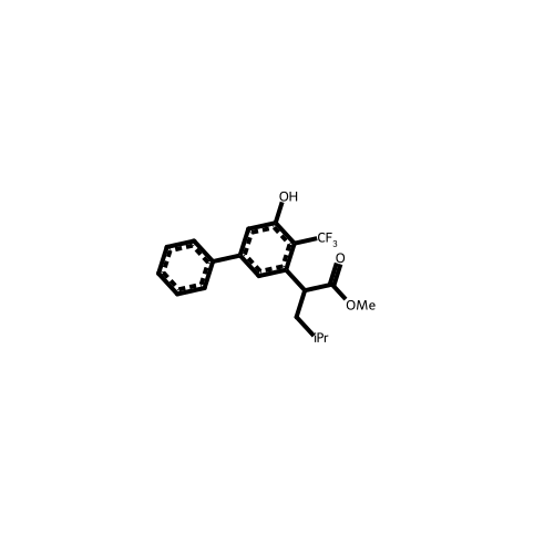 COC(=O)C(CC(C)C)c1cc(-c2ccccc2)cc(O)c1C(F)(F)F